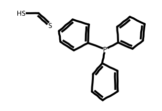 S=CS.c1ccc(P(c2ccccc2)c2ccccc2)cc1